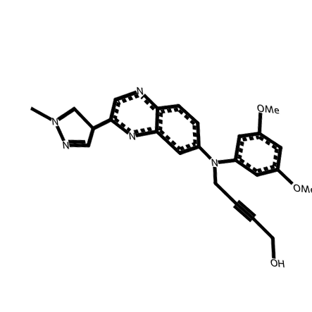 COc1cc(OC)cc(N(CC#CCO)c2ccc3ncc(C4C=NN(C)C4)nc3c2)c1